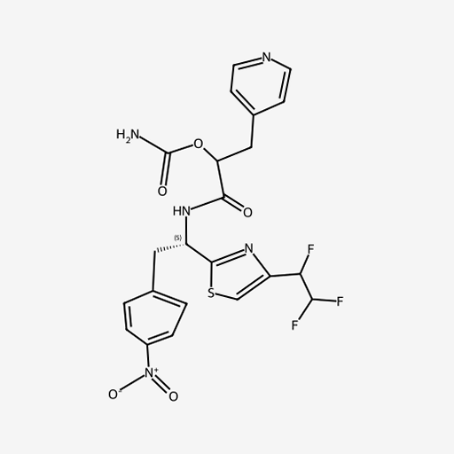 NC(=O)OC(Cc1ccncc1)C(=O)N[C@@H](Cc1ccc([N+](=O)[O-])cc1)c1nc(C(F)C(F)F)cs1